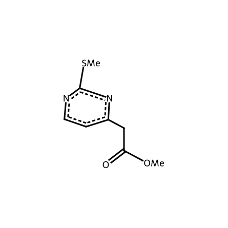 COC(=O)Cc1ccnc(SC)n1